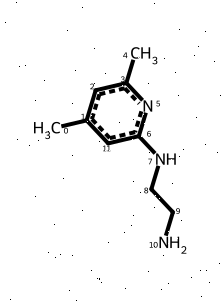 Cc1cc(C)nc(NCCN)c1